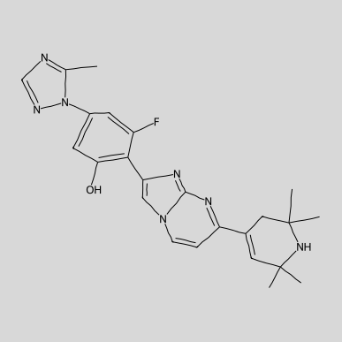 Cc1ncnn1-c1cc(O)c(-c2cn3ccc(C4=CC(C)(C)NC(C)(C)C4)nc3n2)c(F)c1